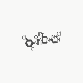 CC(C)C1CN(c2ccnc(Cl)n2)CCN1C(=O)Nc1cc(Cl)ccc1Cl